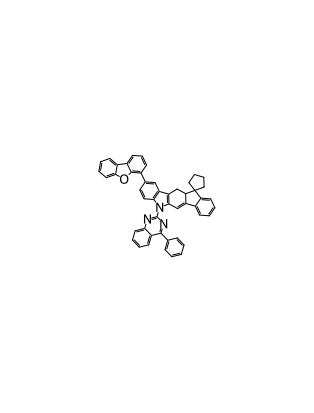 C1=C2c3ccccc3C3(CCCC3)C2Cc2c1n(-c1nc(-c3ccccc3)c3ccccc3n1)c1ccc(-c3cccc4c3oc3ccccc34)cc21